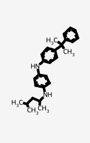 CC(C)CC(C)Nc1ccc(Nc2ccc(C(C)(C)c3ccccc3)cc2)cc1